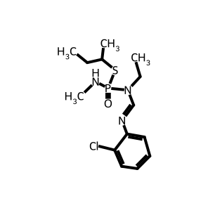 CCC(C)SP(=O)(NC)N(C=Nc1ccccc1Cl)CC